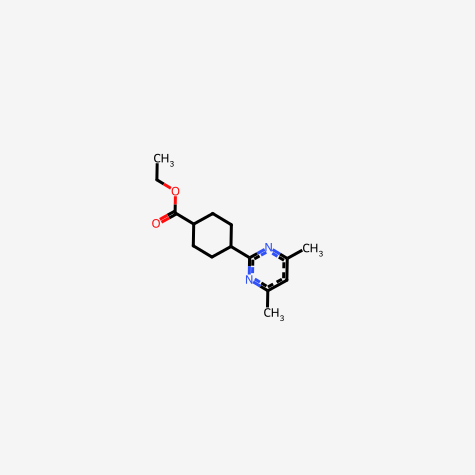 CCOC(=O)C1CCC(c2nc(C)cc(C)n2)CC1